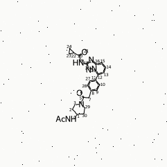 CC(=O)NC1CCN(C(=O)Cc2ccc(-c3cccc4nc(NC(=O)C5CC5)nn34)cc2)CC1